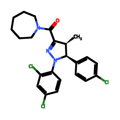 C[C@H]1C(C(=O)N2CCCCCC2)=NN(c2ccc(Cl)cc2Cl)[C@@H]1c1ccc(Cl)cc1